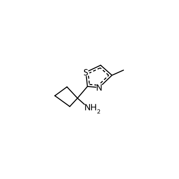 Cc1csc(C2(N)CCC2)n1